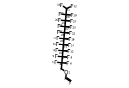 C=COCC(F)(F)C(F)(F)C(F)(F)C(F)(F)C(F)(F)C(F)(F)C(F)(F)C(F)(F)C(F)(F)C(F)F